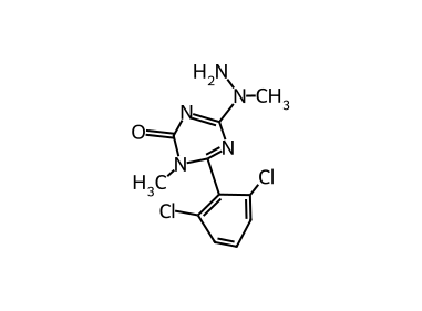 CN(N)c1nc(-c2c(Cl)cccc2Cl)n(C)c(=O)n1